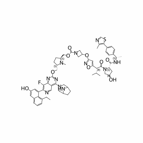 CCc1cccc2cc(O)cc(-c3ncc4c(N5CC6CCC(C5)N6)nc(OC[C@@H]5CC[C@@H](COC(=O)N6CC(Oc7cc([C@H](C(=O)N8C[C@H](O)C[C@H]8C(=O)N[C@@H](C)c8ccc(-c9scnc9C)cc8)C(C)C)on7)C6)N5C)nc4c3F)c12